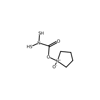 O=C(O[N+]1([O-])CCCC1)N(S)S